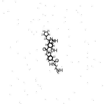 CNCCNC(=O)c1ccc2c(c1)CN(C(=O)c1cc3c(CC4CCCC4)n[nH]c3cc1O)C2